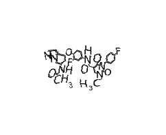 CCn1cc(C(=O)Nc2ccc(Oc3cc(NC(C)=O)cn4nccc34)c(F)c2)c(=O)n(-c2ccc(F)cc2)c1=O